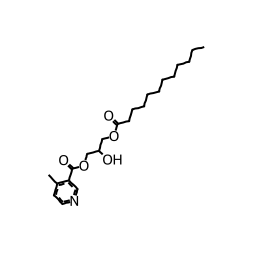 CCCCCCCCCCCC(=O)OCC(O)COC(=O)c1cnccc1C